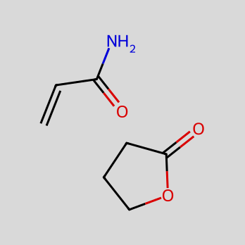 C=CC(N)=O.O=C1CCCO1